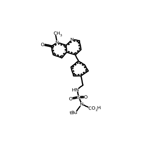 Cn1c(=O)ccc2c(-c3ccc(CNS(=O)(=O)N(C(=O)O)C(C)(C)C)cc3)ccnc21